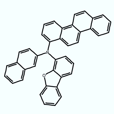 c1ccc2cc(N(c3cccc4c3ccc3c5ccccc5ccc43)c3cccc4c3oc3ccccc34)ccc2c1